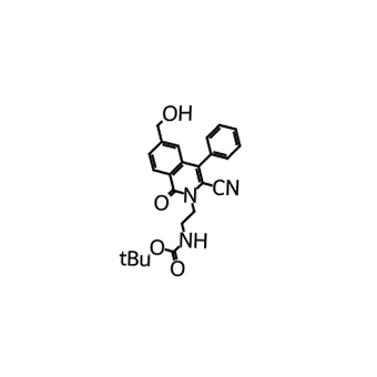 CC(C)(C)OC(=O)NCCn1c(C#N)c(-c2ccccc2)c2cc(CO)ccc2c1=O